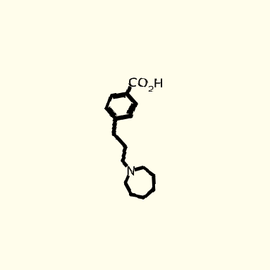 O=C(O)c1ccc(CCCN2CCCCCC2)cc1